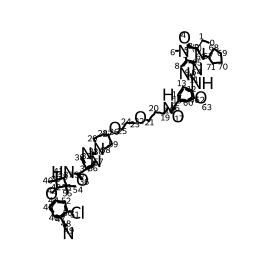 CC[C@@H]1C(=O)N(C)c2cnc(Nc3ccc(C(=O)NCCCOCCCOC4CCN(c5ncc(C(=O)NC6C(C)(C)C(Oc7ccc(C#N)c(Cl)c7)C6(C)C)cn5)CC4)cc3OC)nc2N1C1CCCC1